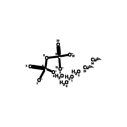 O.O.O.O.O=P([O-])([O-])OP(=O)([O-])[O-].[Cu+2].[Cu+2]